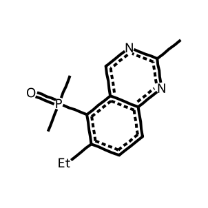 CCc1ccc2nc(C)ncc2c1P(C)(C)=O